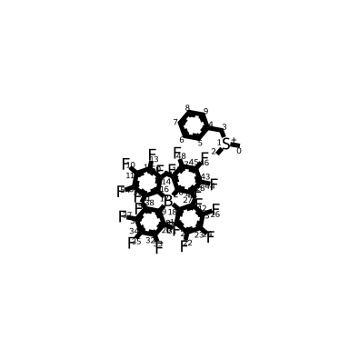 C[S+](C)Cc1ccccc1.Fc1c(F)c(F)c([B-](c2c(F)c(F)c(F)c(F)c2F)(c2c(F)c(F)c(F)c(F)c2F)c2c(F)c(F)c(F)c(F)c2F)c(F)c1F